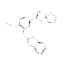 CC(C)Oc1ccc(C2=NOC3(CCCC3)C2)cc1OC1Cc2ccccc2C1